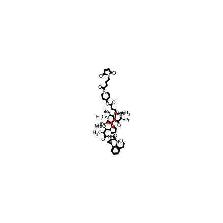 CC[C@H](C)[C@@H]([C@@H](CC(=O)N1CCC[C@H]1[C@H](OC)[C@@H](C)C(=O)N[C@@]1(C(=O)N2CCCCO2)C[C@@H]1c1ccccc1)OC)N(C)[C@H](C(=O)NC(=O)[C@H](C(C)C)N(C)CCCC(=O)OC1CCN(C(=O)CCCN2C(=O)C=CC2=O)CC1)C(C)C